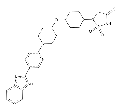 O=C1CN(C2CCC(OC3CCN(c4ccc(-c5nc6ccccc6[nH]5)cn4)CC3)CC2)S(=O)(=O)N1